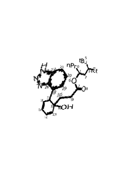 CCCC(CC(CC)C(C)(C)C)OC(=O)CCC1(O)C=CC=CC1c1cccc2[nH]nnc12